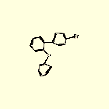 Brc1ccc(-c2ccccc2Oc2ccccc2)cc1